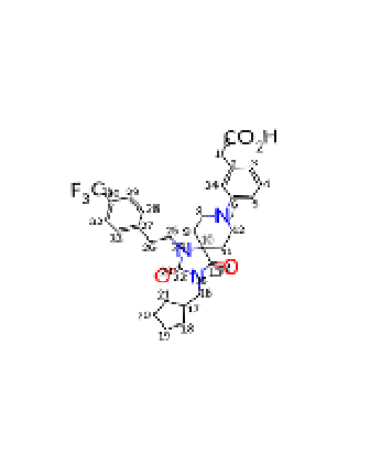 O=C(O)Cc1cccc(N2CCC3(CC2)C(=O)N(CC2CCCC2)C(=O)N3CCc2ccc(C(F)(F)F)cc2)c1